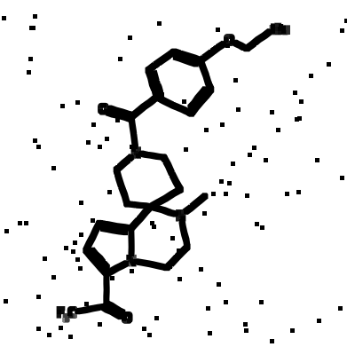 CN1CCn2c(C(=O)C(F)(F)F)ccc2C12CCN(C(=O)c1ccc(OCC(C)(C)C)cc1)CC2